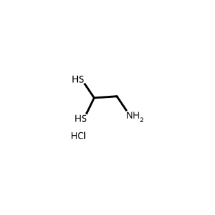 Cl.NCC(S)S